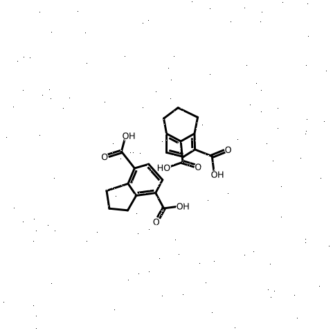 O=C(O)c1ccc(C(=O)O)c2c1CCC2.O=C(O)c1ccc2c(C(=O)O)c1CCC2